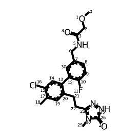 COCC(=O)NCc1ccc(F)c(-c2cc(Cl)c(C)cc2CCc2n[nH]c(=O)n2C)c1